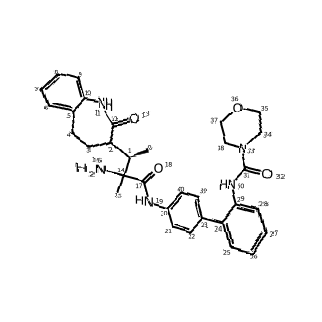 C[C@H](C1CCc2ccccc2NC1=O)C(C)(N)C(=O)Nc1ccc(-c2ccccc2NC(=O)N2CCOCC2)cc1